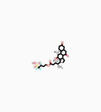 C[C@H](CCC(=O)OCCC(F)C(F)(F)S(=O)(=O)O)[C@H]1CCC2C3C(=O)CC4CC(=O)CC[C@]4(C)C3CC(=O)[C@@]21C